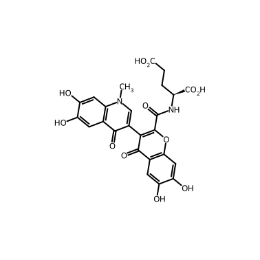 Cn1cc(-c2c(C(=O)N[C@@H](CCC(=O)O)C(=O)O)oc3cc(O)c(O)cc3c2=O)c(=O)c2cc(O)c(O)cc21